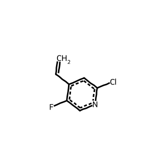 C=Cc1cc(Cl)ncc1F